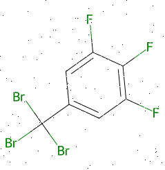 Fc1cc(C(Br)(Br)Br)cc(F)c1F